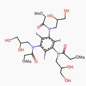 COCC(=O)N(CC(O)CO)c1c(I)c(N(CC(O)CO)C(=O)COC)c(I)c(N(CC(O)CO)C(=O)COC)c1I